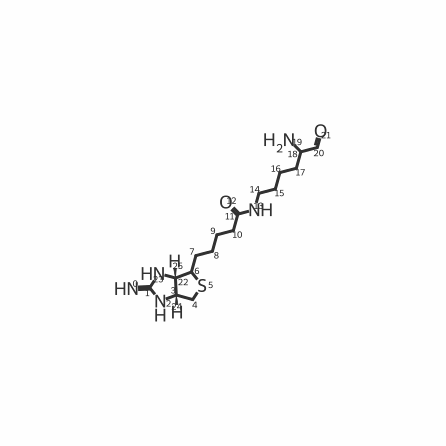 N=C1N[C@H]2CSC(CCCCC(=O)NCCCCC(N)C=O)[C@H]2N1